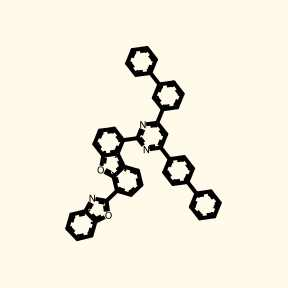 c1ccc(-c2ccc(-c3cc(-c4cccc(-c5ccccc5)c4)nc(-c4cccc5oc6c(-c7nc8ccccc8o7)cccc6c45)n3)cc2)cc1